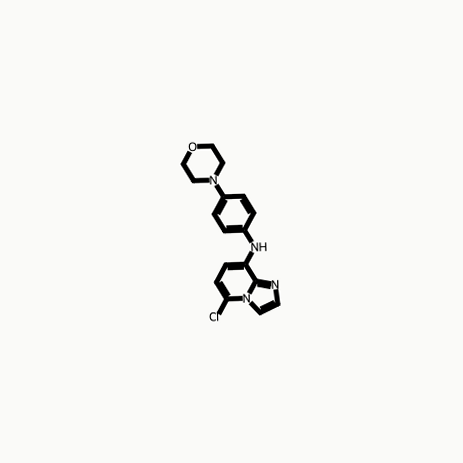 Clc1ccc(Nc2ccc(N3CCOCC3)cc2)c2nccn12